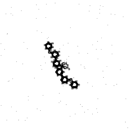 CC1(C)C2=C(CCC(C3=CC=CC(OC4=CC=CCC4)C3)=C2)C2=CC=C(C3=CC=CC(OC4=CC=CCC4)C3)CC21